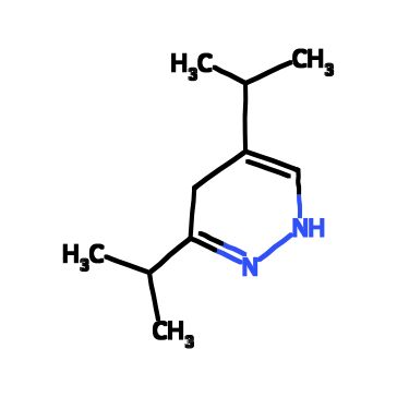 CC(C)C1=CNN=C(C(C)C)C1